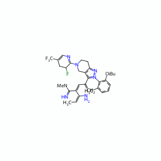 C=C(/C=C(C(=N)NC)\C(N)=C/C)c1c2c(nn1-c1c(C)cccc1OCC(C)C)CCN(C1=NC=C(C(F)(F)F)CC1F)C2